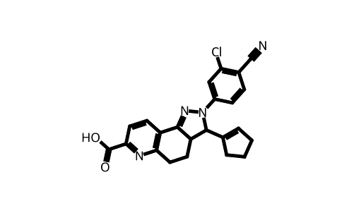 N#Cc1ccc(N2N=C3c4ccc(C(=O)O)nc4CCC3C2C2=CCCC2)cc1Cl